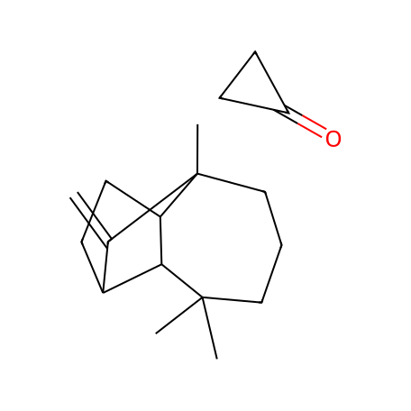 C=C1C2CCC3C2C(C)(C)CCCC13C.O=C1CC1